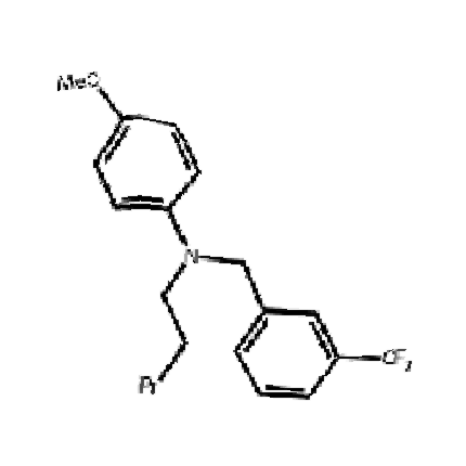 COc1ccc(N(CCC(C)C)Cc2cccc(C(F)(F)F)c2)cc1